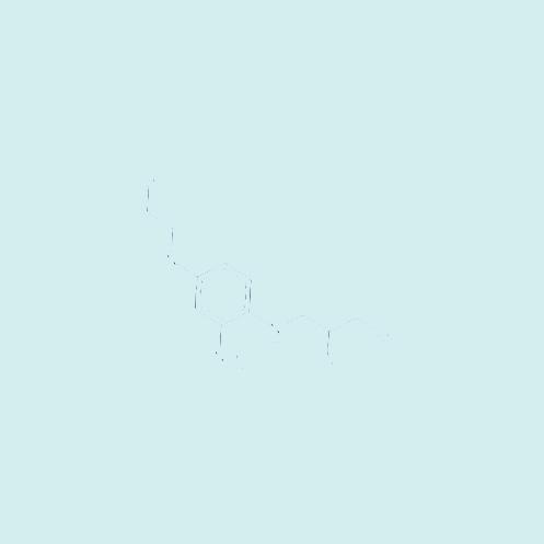 O=[N+]([O-])c1cc(NCCO)ccc1NCC(O)CO